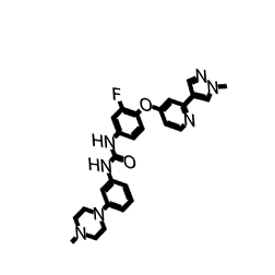 CN1CCN(c2cccc(NC(=O)Nc3ccc(Oc4ccnc(-c5cnn(C)c5)c4)c(F)c3)c2)CC1